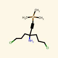 CS(C)(C)C#CC(N)(CCCCl)CCCCl